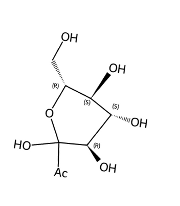 CC(=O)C1(O)O[C@H](CO)[C@@H](O)[C@H](O)[C@H]1O